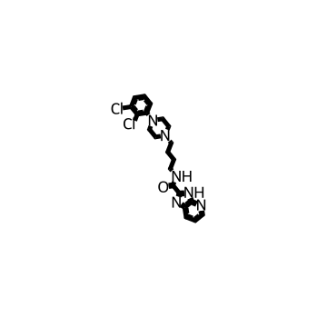 O=C(NCCCCN1CCN(c2cccc(Cl)c2Cl)CC1)c1nc2cccnc2[nH]1